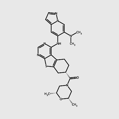 C[C@@H]1CN(C(=O)[C@H]2CCc3c(sc4ncnc(Nc5cc6ccnn6cc5N(C)C)c34)C2)C[C@H](C)O1